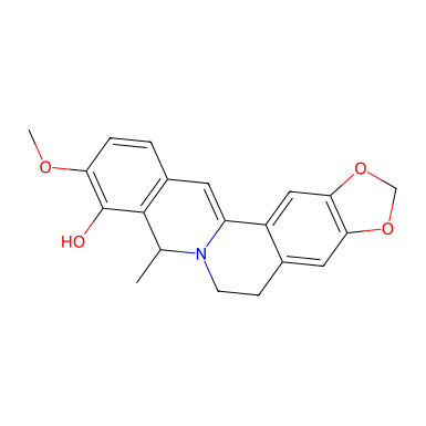 COc1ccc2c(c1O)C(C)N1CCc3cc4c(cc3C1=C2)OCO4